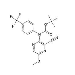 COc1cnc(N(C(=O)OC(C)(C)C)c2ccc(C(F)(F)F)cc2)c(C#N)n1